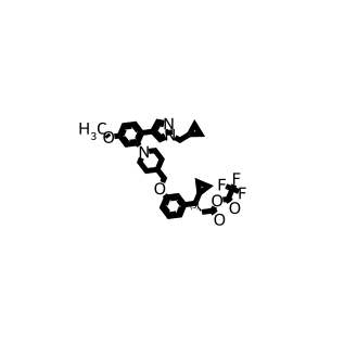 COc1ccc(-c2cnn(CC3CC3)c2)c(N2CCC(COc3cccc([C@@H](CC(=O)OC(=O)C(F)(F)F)C4CC4)c3)CC2)c1